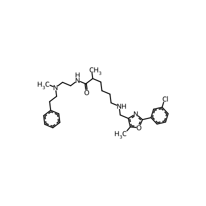 Cc1oc(-c2cccc(Cl)c2)nc1CNCCCCC(C)C(=O)NCCN(C)CCc1ccccc1